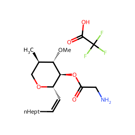 CCCCCCC/C=C\[C@@H]1OC[C@@H](C)[C@H](OC)[C@H]1OC(=O)CN.O=C(O)C(F)(F)F